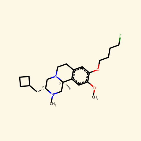 COc1cc2c(cc1OCCCCF)CCN1C[C@@H](CC3CCC3)N(C)C[C@H]21